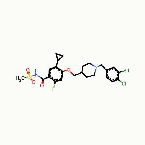 CS(=O)(=O)NC(=O)c1cc(C2CC2)c(OCC2CCN(Cc3ccc(Cl)c(Cl)c3)CC2)cc1F